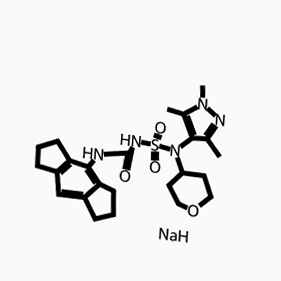 Cc1nn(C)c(C)c1N(C1CCOCC1)S(=O)(=O)NC(=O)Nc1c2c(cc3c1CCC3)CCC2.[NaH]